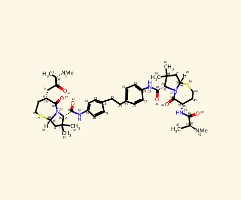 CN[C@@H](C)C(=O)C[C@H]1CCS[C@H]2CC(C)(C)[C@@H](C(=O)Nc3ccc(CCc4ccc(NC(=O)[C@H]5N6C(=O)[C@@H](NC(=O)[C@H](C)NC)CCS[C@H]6CC5(C)C)cc4)cc3)N2C1=O